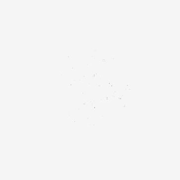 CCCCCOC(=O)OC(C)C(C)C(c1ccc(OC(=O)CC(C)CC)c(OC(=O)CC(C)CC)c1)[C@H](N)C(=O)O